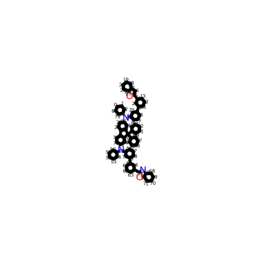 c1ccc(N(c2cccc(-c3cccc(-c4cc5ccccc5o4)c3)c2)c2ccc3c(c2)C(c2ccccc2)(c2ccccc2)c2cc(N(c4ccccc4)c4cccc(-c5cccc(-c6nc7ccccc7o6)c5)c4)ccc2-3)cc1